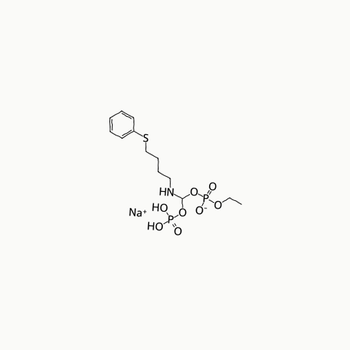 CCOP(=O)([O-])OC(NCCCCSc1ccccc1)OP(=O)(O)O.[Na+]